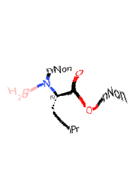 BN(CCCCCCCCC)[C@@H](CC(C)C)C(=O)OCCCCCCCCC